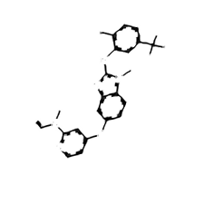 CN(C=O)c1cc(Oc2ccc3c(c2)nc(Nc2cc(C(F)(F)F)ccc2Cl)n3C)ccn1